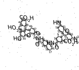 CN(C)c1ccc2c(-c3ccc(C(=O)Nc4cccc5cc(C(=O)NCc6c7oc8cc(O)ccc8c(-c8ccc(C(=O)O)cc8C(=O)O)c-7ccc6=O)ccc45)cc3C(=O)O)c3ccc(=N)cc-3oc2c1